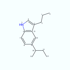 CCCc1c[nH]c2ccc(C(C)CC)cc12